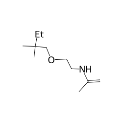 C=C(C)NCCOCC(C)(C)CC